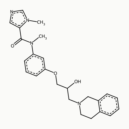 CN(C(=O)c1cncn1C)c1cccc(OCC(O)CN2CCc3ccccc3C2)c1